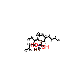 CCCCC(CC)CS(CC(CC)CCCC)=P(O)(O)S.[Zn]